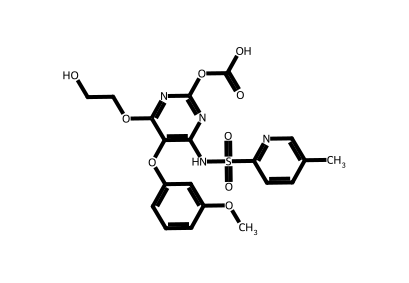 COc1cccc(Oc2c(NS(=O)(=O)c3ccc(C)cn3)nc(OC(=O)O)nc2OCCO)c1